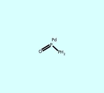 O=PP.[Pd]